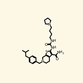 CC(C)Cc1ccc(CN2CCc3c(sc(NC(=O)NCCCCN4CCCC4)c3C(N)=O)C2)cc1